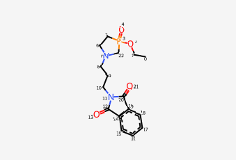 CCOP1(=O)CCN(CCCN2C(=O)c3ccccc3C2=O)C1